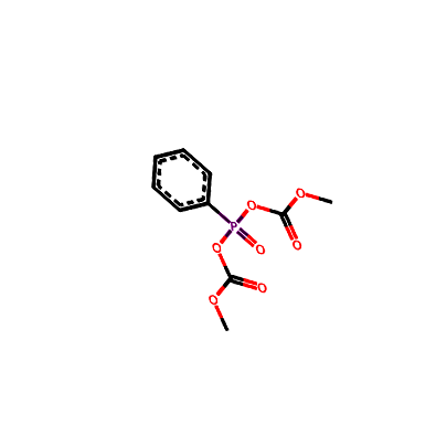 COC(=O)OP(=O)(OC(=O)OC)c1ccccc1